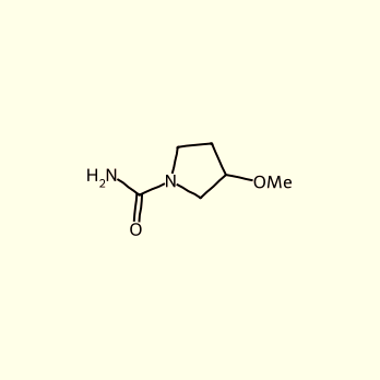 COC1CCN(C(N)=O)C1